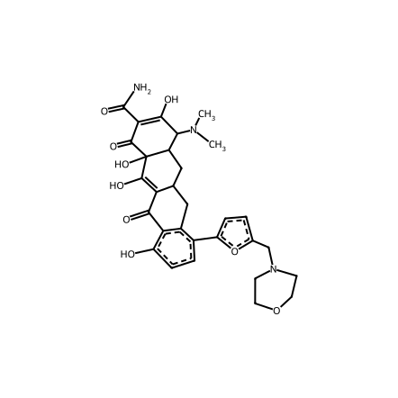 CN(C)C1C(O)=C(C(N)=O)C(=O)C2(O)C(O)=C3C(=O)c4c(O)ccc(-c5ccc(CN6CCOCC6)o5)c4CC3CC12